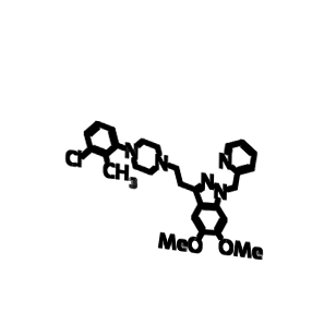 COc1cc2c(CCN3CCN(c4cccc(Cl)c4C)CC3)nn(Cc3ccccn3)c2cc1OC